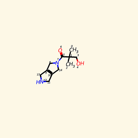 CC(C)(CO)C(=O)N1CC2=C(CNC2)C1